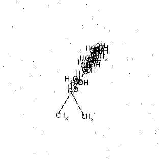 CCCCCCCCCCCCCCCCCCN(CCCCCCCCCCCCCCCCCC)C(=O)CCC(=O)NCCCNC(O)[C@H](CCCCCCOC1OC(CO)C(OC2OC(CO)C(OC3OC(CO)C(O)C(OC4OC(CO)C(O)C(OC5OC(CO)C(O)C(O)C5O)C4C)C3O)C(O)C2O)C(O)C1O)NC(C)=O